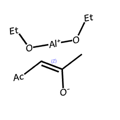 CC(=O)/C=C(/C)[O-].CC[O][Al+][O]CC